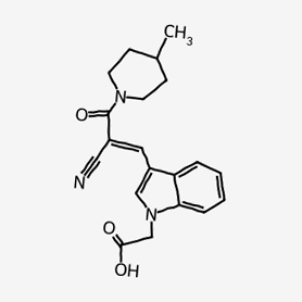 CC1CCN(C(=O)/C(C#N)=C/c2cn(CC(=O)O)c3ccccc23)CC1